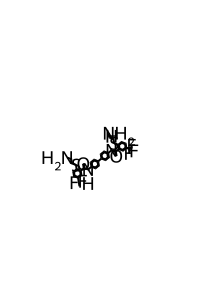 CC(F)(F)c1ccc(SCCN)c(C(=O)Nc2ccc(-c3ccc(NC(=O)c4cc(C(F)(F)F)ccc4SCCN)cc3)cc2)c1